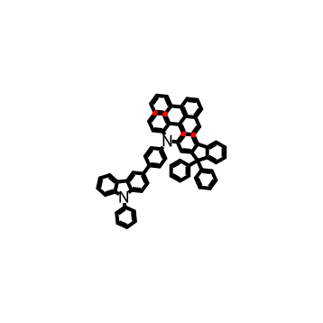 c1ccc(-c2cccc3cccc(-c4ccccc4N(c4ccc(-c5ccc6c(c5)c5ccccc5n6-c5ccccc5)cc4)c4ccc5c(c4)C(c4ccccc4)(c4ccccc4)c4ccccc4-5)c23)cc1